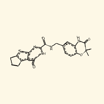 CC1(C)Oc2ccc(CNC(=O)c3nc4sc5c(c4c(=O)[nH]3)CCC5)cc2NC1=O